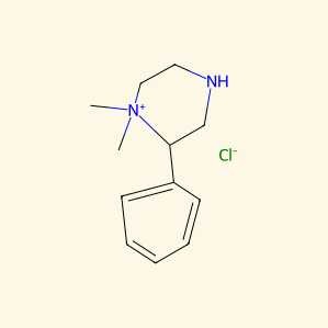 C[N+]1(C)CCNCC1c1ccccc1.[Cl-]